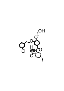 CC[C@H]1CC[C@@](NC(=O)c2ccc(OCCO)c(OCCc3cccc(Cl)c3)c2)(C(=O)O)CC1